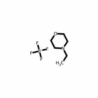 CCN1CCOCC1.F[B-](F)(F)F